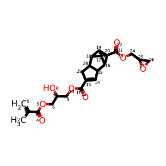 C=C(C)C(=O)OCC(O)COC(=O)C1=CC2C3CC(C=C3C(=O)OCC3CO3)C2C1